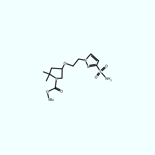 CC(C)(C)OC(=O)N1CC(OCCn2ccc(S(N)(=O)=O)n2)CC1(C)C